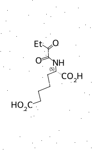 CCC(=O)C(=O)N[C@@H](CCCCC(=O)O)C(=O)O